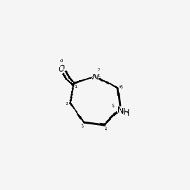 O=C1CCCNC[N]1